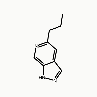 CCCc1cc2cn[nH]c2cn1